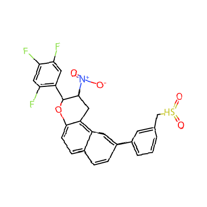 O=[N+]([O-])C1Cc2c(ccc3ccc(-c4cccc(C[SH](=O)=O)c4)cc23)OC1c1cc(F)c(F)cc1F